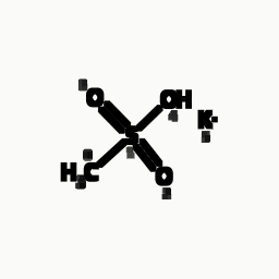 CS(=O)(=O)O.[K]